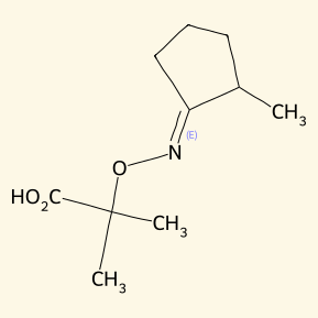 CC1CCC/C1=N\OC(C)(C)C(=O)O